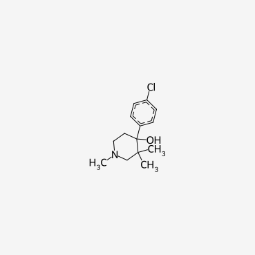 CN1CCC(O)(c2ccc(Cl)cc2)C(C)(C)C1